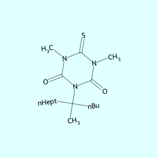 CCCCCCCC(C)(CCCC)n1c(=O)n(C)c(=S)n(C)c1=O